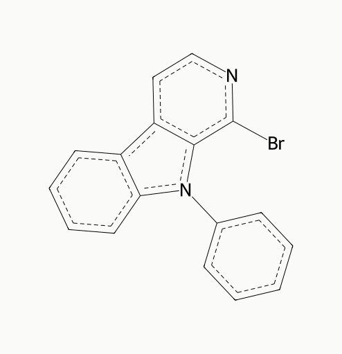 Brc1nccc2c3ccccc3n(-c3ccccc3)c12